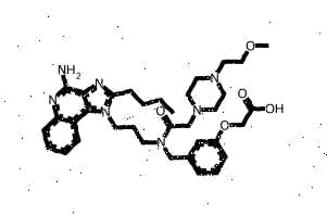 CCCCc1nc2c(N)nc3ccccc3c2n1CCCN(Cc1cccc(OCC(=O)O)c1)C(=O)CN1CCN(CCOC)CC1